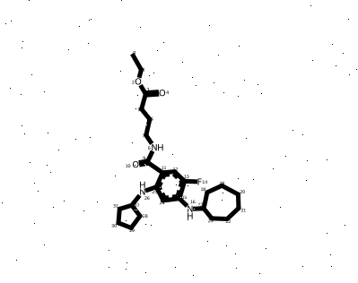 CCOC(=O)CCCNC(=O)c1cc(F)c(NC2CCCCCC2)cc1NC1CCCC1